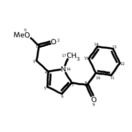 COC(=O)Cc1ccc(C(=O)c2ccccc2)n1C